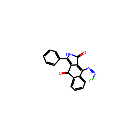 O=C1NC(c2ccccc2)=C2C(=O)c3ccccc3C(/N=N\Cl)=C12